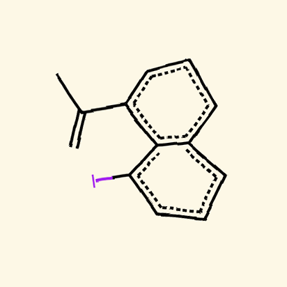 C=C(C)c1cccc2cccc(I)c12